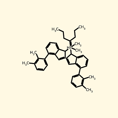 CCC[C](CCC)=[Hf]([CH3])([CH3])([CH]1C=Cc2c(-c3cccc(C)c3C)cccc21)[CH]1C=Cc2c(-c3cccc(C)c3C)cccc21